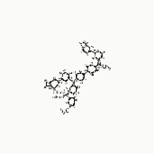 CCCCCCC1(CCCCCC)c2cc(C)ccc2-c2ccc(N(c3ccc(-c4ccc(N(C)c5cccc(-c6ccc7c(c6)CC7)c5)cc4)cc3)c3cccc(-c4ccc5c(c4)CC5)c3)cc21